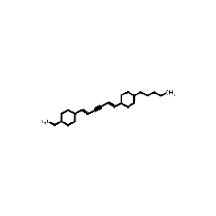 CCCCCC1CCC(C=CC#CC=CC2CCC(CC)CC2)CC1